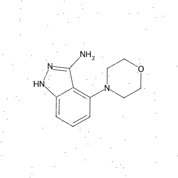 Nc1n[nH]c2cccc(N3CCOCC3)c12